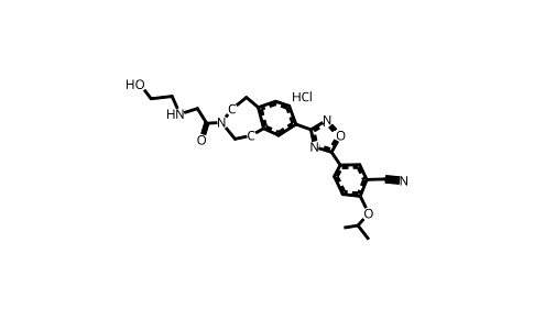 CC(C)Oc1ccc(-c2nc(-c3ccc4c(c3)CCN(C(=O)CNCCO)CC4)no2)cc1C#N.Cl